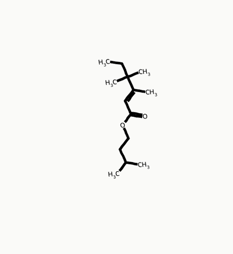 CCC(C)(C)/C(C)=C/C(=O)OCCC(C)C